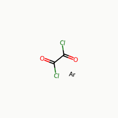 O=C(Cl)C(=O)Cl.[Ar]